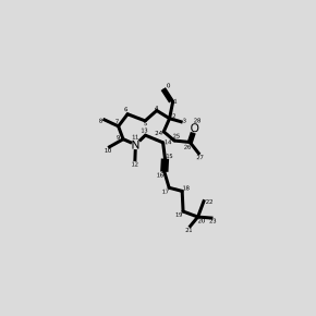 C=CC(C)(CCCC(C)C(C)N(C)CCC#CCCCC(C)(C)C)CCC(C)=O